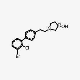 O[C@@H]1CCN(CCc2ccc(-c3cccc(Br)c3Cl)cc2)C1